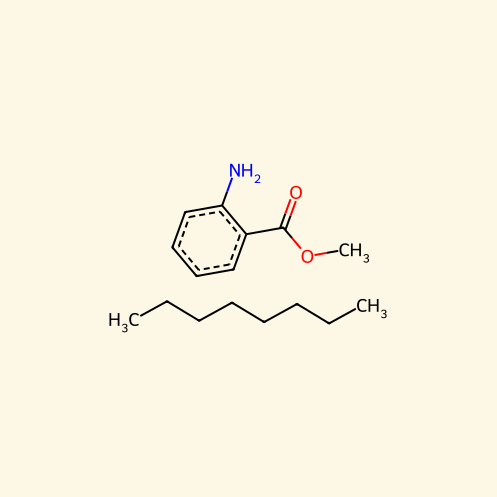 CCCCCCCC.COC(=O)c1ccccc1N